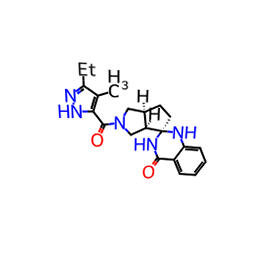 CCc1n[nH]c(C(=O)N2C[C@H]3CC[C@]4(NC(=O)c5ccccc5N4)[C@H]3C2)c1C